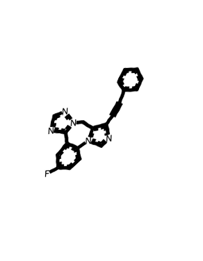 Fc1ccc2c(c1)-c1ncnn1Cc1c(C#Cc3ccccc3)ncn1-2